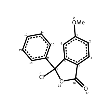 COc1ccc2c(c1)C(Cl)(c1ccccc1)OC2=O